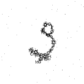 Cc1ncsc1-c1ccc(CNC(=O)[C@@H]2C[C@@H](O)CN2C(=O)[C@@H](NC(=O)COCCOCCN2CCN(CCOc3ccc4cc3COC/C=C/COCc3cccc(c3)-c3ccnc(n3)N4)CC2)C(C)(C)C)cc1